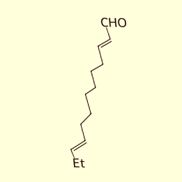 CC/C=C/CCCCCC/C=C/C=O